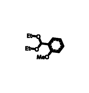 CCOC(OCC)c1ccccc1OC